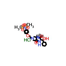 CCCCN1C(=O)[C@@H]([C@H](O)C2CCCCC2)NC(=O)C12CCN(CCOc1ccc(N(S(C)(=O)=O)S(C)(=O)=O)cc1)CC2.Cl